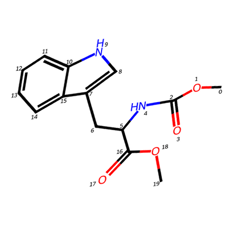 COC(=O)NC(Cc1c[nH]c2ccccc12)C(=O)OC